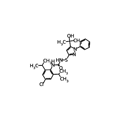 CC(C)c1cc(Cl)cc(C(C)C)c1NC(=O)NSc1cc(C(C)(C)O)n(-c2ccccc2)n1